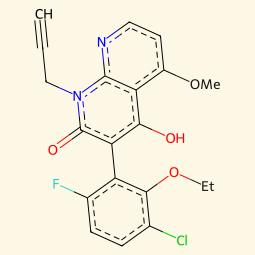 C#CCn1c(=O)c(-c2c(F)ccc(Cl)c2OCC)c(O)c2c(OC)ccnc21